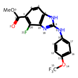 COC(=O)c1ccc2[nH]c(Nc3ccc(OC(F)(F)F)cc3)nc2c1F